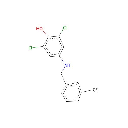 Oc1c(Cl)cc(NCc2cccc(C(F)(F)F)c2)cc1Cl